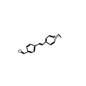 CC[n+]1ccc(C=Cc2ccc(C=O)cc2)cc1